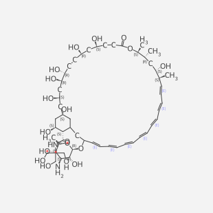 C[C@@H]1C[C@H](O)[C@@H](C)/C=C/C=C/C=C/C=C/C=C/C=C/C=C/C(O[C@@H]2O[C@H](C)[C@@H](O)[C@H](N)[C@H]2O)CC2C[C@](O)(C[C@@H](O)C[C@@H](O)[C@H](O)CC[C@@H](O)C[C@@H](O)CCC(=O)O[C@H]1C)C[C@H](O)[C@H]2C(=O)NC(CO)(CO)CO